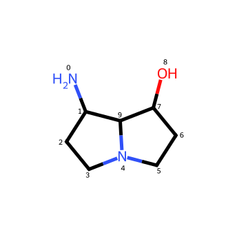 NC1CCN2CCC(O)C12